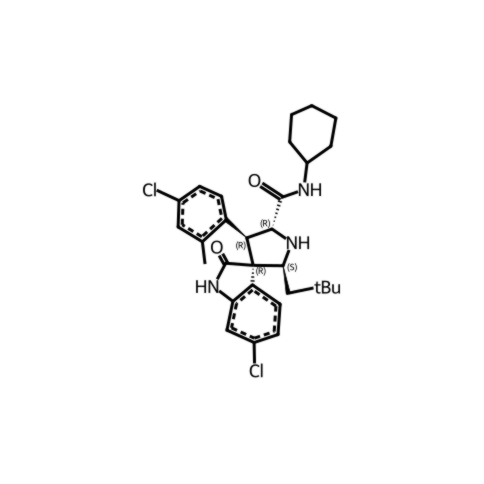 Cc1cc(Cl)ccc1[C@H]1[C@H](C(=O)NC2CCCCC2)N[C@@H](CC(C)(C)C)[C@@]12C(=O)Nc1cc(Cl)ccc12